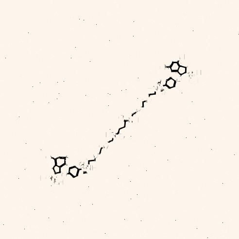 CN(C)[C@@H]1Cc2c(Cl)cc(Cl)cc2[C@@H]1Oc1ccc(S(=O)(=O)NCCOCCOCCNC(=O)CCC(=O)NCCOCCOCCNS(=O)(=O)c2ccc(O[C@H]3c4cc(Cl)cc(Cl)c4C[C@H]3N(C)C)cc2)cc1